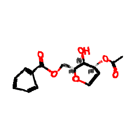 CC(=O)O[C@@H]1C=CO[C@H](COC(=O)c2ccccc2)[C@H]1O